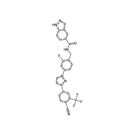 N#Cc1ccc(-c2ccn(-c3ccc(CNC(=O)c4ccc5[nH]ncc5c4)c(F)c3)n2)cc1C(F)(F)F